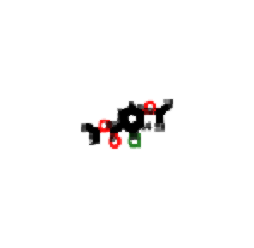 CC(C)OC(=O)c1ccc(OC(C)C)cc1Cl